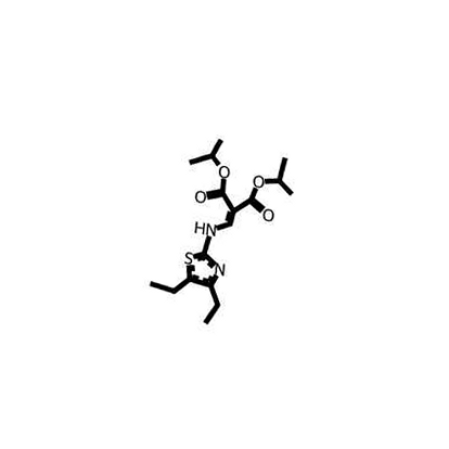 CCc1nc(NC=C(C(=O)OC(C)C)C(=O)OC(C)C)sc1CC